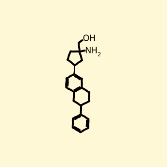 NC1(CO)CC[C@H](c2ccc3c(c2)CCC(c2ccccc2)C3)C1